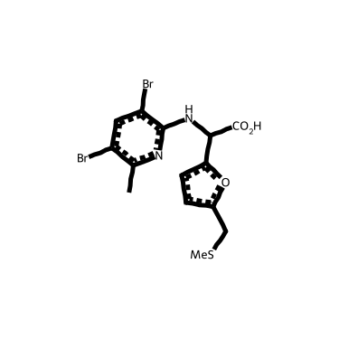 CSCc1ccc(C(Nc2nc(C)c(Br)cc2Br)C(=O)O)o1